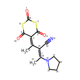 CC(=C1C(=O)SC(=O)SC1=O)/C(C#N)=C(\C)N1CCCC1